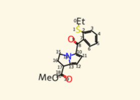 CCSc1ccccc1C(=O)c1ccc2n1CCC2C(=O)OC